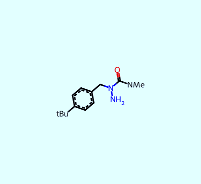 CNC(=O)N(N)Cc1ccc(C(C)(C)C)cc1